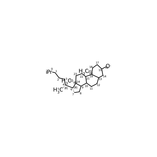 CC(C)CCC[C@@H](C)[C@H]1CCC2C3CCC4CC([O])CC[C@]4(C)C3CC[C@@]21C